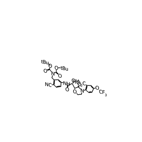 CC(C)(C)OC(=O)N(Cc1cc(NC(=O)[C@H](O)[C@H]2OCCN(c3ccc(OC(F)(F)F)cc3C(=O)O)C2=O)ccc1C#N)C(=O)OC(C)(C)C